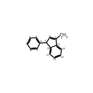 CC1=CC(c2ccccc2)c2ccccc21